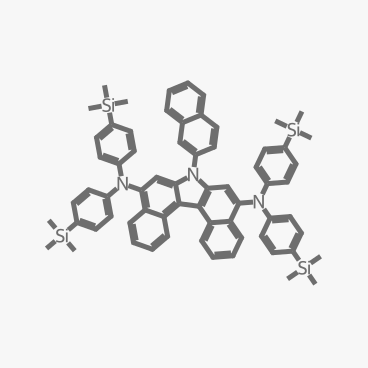 C[Si](C)(C)c1ccc(N(c2ccc([Si](C)(C)C)cc2)c2cc3c(c4ccccc24)c2c4ccccc4c(N(c4ccc([Si](C)(C)C)cc4)c4ccc([Si](C)(C)C)cc4)cc2n3-c2ccc3ccccc3c2)cc1